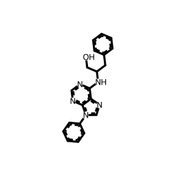 OCC(Cc1ccccc1)Nc1ncnc2c1ncn2-c1ccccc1